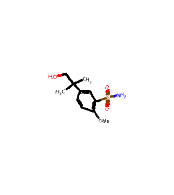 COc1ccc(C(C)(C)CO)cc1S(N)(=O)=O